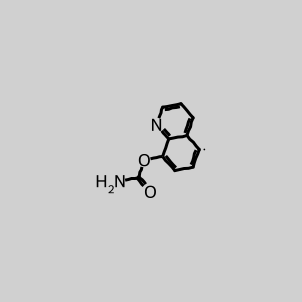 NC(=O)Oc1cc[c]c2cccnc12